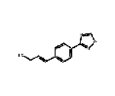 OCC=Cc1ccc(-c2ncon2)cc1